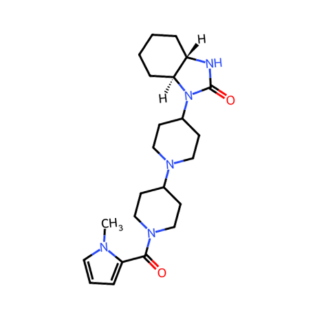 Cn1cccc1C(=O)N1CCC(N2CCC(N3C(=O)N[C@H]4CCCC[C@@H]43)CC2)CC1